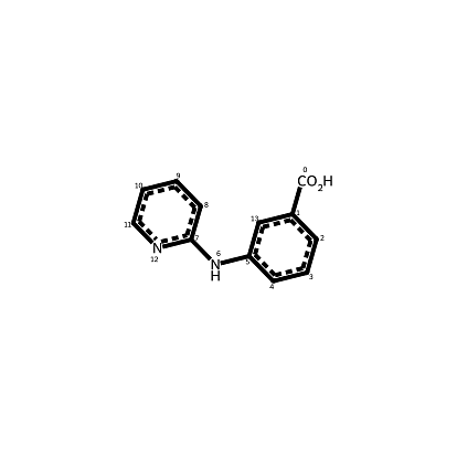 O=C(O)c1cccc(Nc2ccccn2)c1